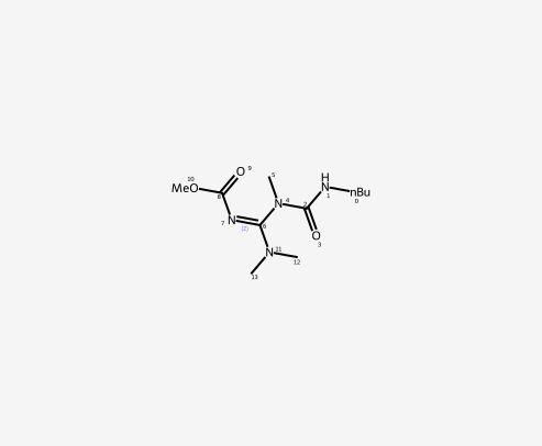 CCCCNC(=O)N(C)/C(=N\C(=O)OC)N(C)C